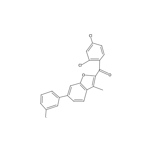 [CH2]c1cccc(-c2ccc3c(C)c(C(=O)c4ccc(Cl)cc4Cl)oc3c2)c1